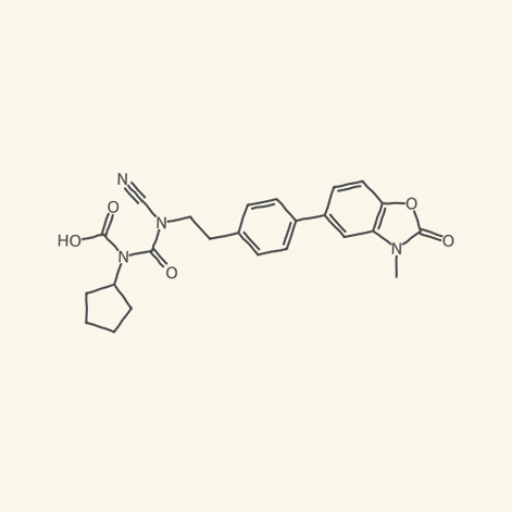 Cn1c(=O)oc2ccc(-c3ccc(CCN(C#N)C(=O)N(C(=O)O)C4CCCC4)cc3)cc21